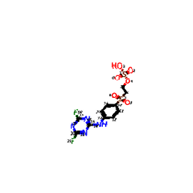 O=S(=O)(O)OCCS(=O)(=O)c1ccc(Nc2nc(F)nc(F)n2)cc1